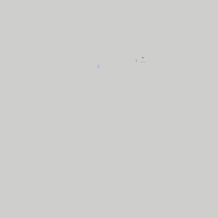 C/C=C(/OC(C)=O)c1ccccc1